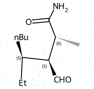 CCCC[C@H](CC)[C@H](C=O)[C@@H](C)C(N)=O